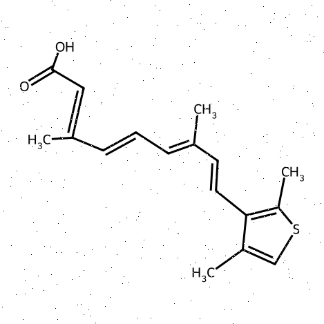 CC(C=Cc1c(C)csc1C)=CC=CC(C)=CC(=O)O